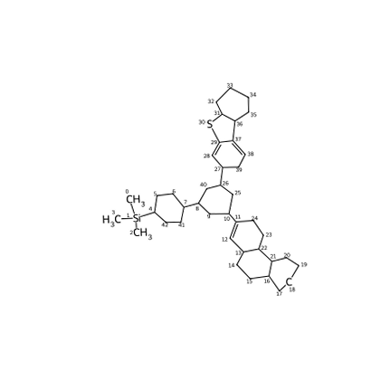 C[Si](C)(C)C1CCC(C2CC(C3=CC4CCC5CCCCC5C4CC3)CC(C3C=C4SC5CCCCC5C4=CC3)C2)CC1